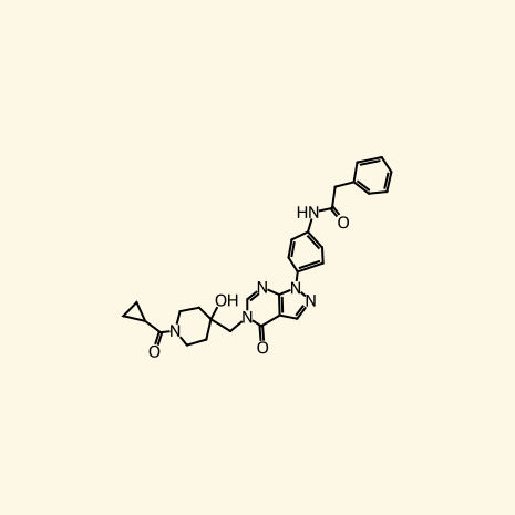 O=C(Cc1ccccc1)Nc1ccc(-n2ncc3c(=O)n(CC4(O)CCN(C(=O)C5CC5)CC4)cnc32)cc1